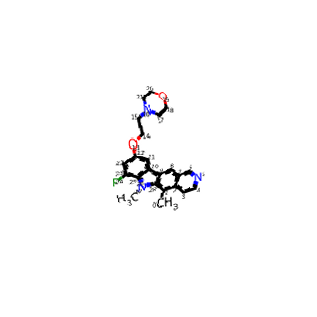 Cc1c2ccncc2cc2c3cc(OCCN4CCOCC4)cc(F)c3n(C)c12